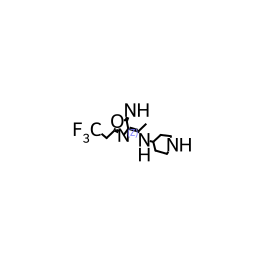 C/C(NC1CCNCC1)=C1/N=C(CC(F)(F)F)OC1=N